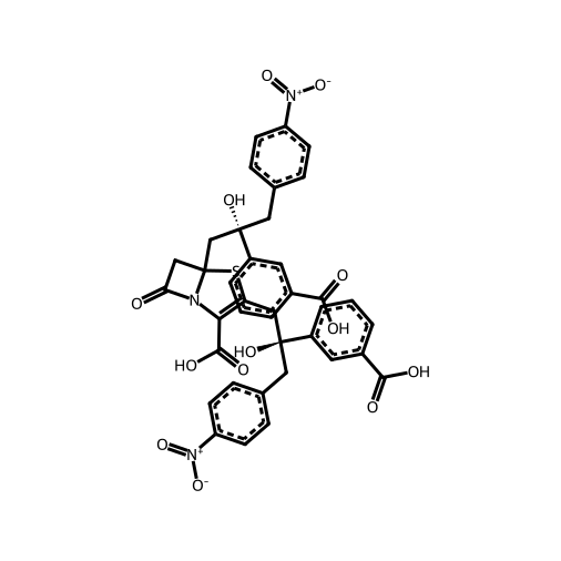 O=C(O)C1=C(C[C@@](O)(Cc2ccc([N+](=O)[O-])cc2)c2cccc(C(=O)O)c2)SC2(C[C@@](O)(Cc3ccc([N+](=O)[O-])cc3)c3cccc(C(=O)O)c3)CC(=O)N12